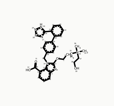 CCOc1nc2cccc(C(=O)O)c2n1Cc1ccc(-c2ccccc2-c2nnn[nH]2)cc1.C[N+](C)(C)CCO